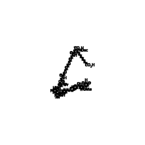 CCCCCCCCCCCN(C(=O)CCCCCCCCCC(=O)O)C(CCC(=O)NCCOCCOCCOCCOCCC(=O)NCC(=O)O[C@H]1CN(C(=O)Nc2cc(F)cc(-c3ncnc4[nH]c(-c5ccc(CCN6CCC7(CC6)CCN(C(O)c6ccc(OC)c(N8CCC(=O)NC8=O)c6)CC7)cc5)cc34)c2C)C[C@@H]1CC(C)C)C(=O)O